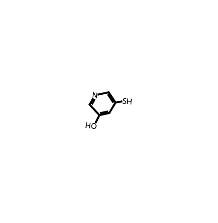 Oc1cncc(S)c1